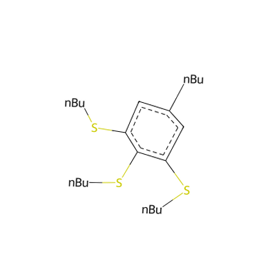 [CH2]CCCc1cc(SCCCC)c(SCCCC)c(SCCCC)c1